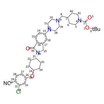 CC(C)(C)OC(=O)N1CCC(CN2CCN(c3ccc4c(c3)CN([C@H]3CC[C@H](Oc5ccc(C#N)c(Cl)c5)CC3)C4=O)CC2)CC1